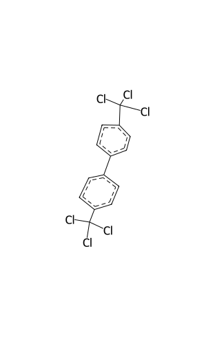 ClC(Cl)(Cl)c1ccc(-c2ccc(C(Cl)(Cl)Cl)cc2)cc1